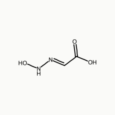 O=C(O)C=NNO